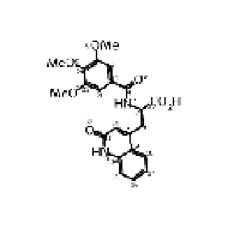 COc1cc(C(=O)NC(Cc2cc(=O)[nH]c3ccccc23)C(=O)O)cc(OC)c1OC